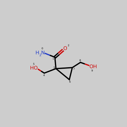 NC(=O)C1(CO)CC1CO